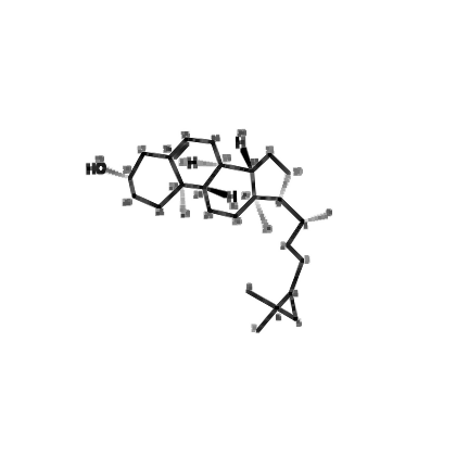 C[C@H](CCC1CC1(C)C)[C@H]1CC[C@H]2[C@@H]3CC=C4C[C@@H](O)CC[C@]4(C)[C@H]3CC[C@]12C